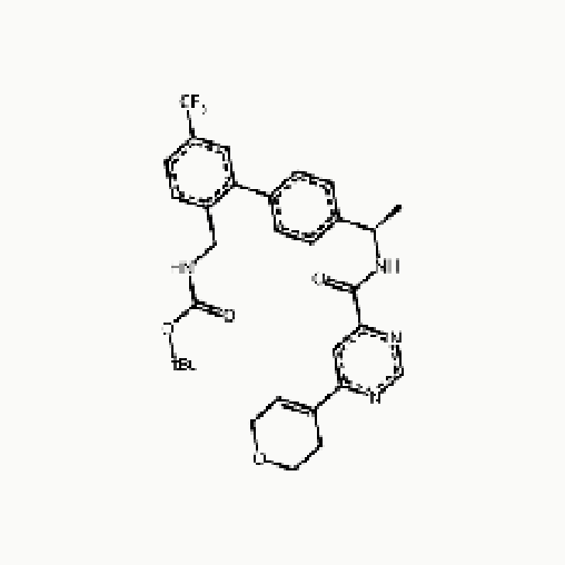 C[C@@H](NC(=O)c1cc(C2=CCOCC2)ncn1)c1ccc(-c2cc(C(F)(F)F)ccc2CNC(=O)OC(C)(C)C)cc1